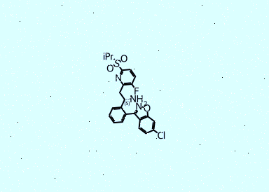 CC(C)S(=O)(=O)c1ccc(F)c(C[C@H](N)c2ccccc2-c2noc3cc(Cl)ccc23)n1